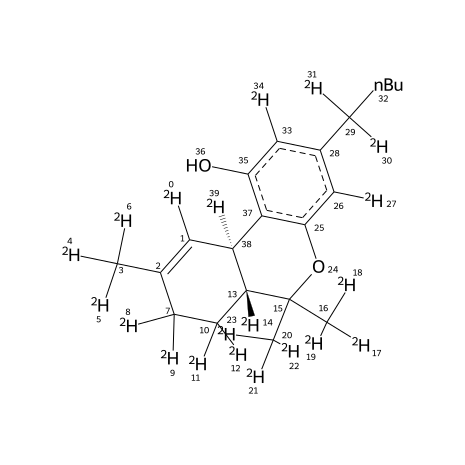 [2H]C1=C(C([2H])([2H])[2H])C([2H])([2H])C([2H])([2H])[C@@]2([2H])C(C([2H])([2H])[2H])(C([2H])([2H])[2H])Oc3c([2H])c(C([2H])([2H])CCCC)c([2H])c(O)c3[C@]12[2H]